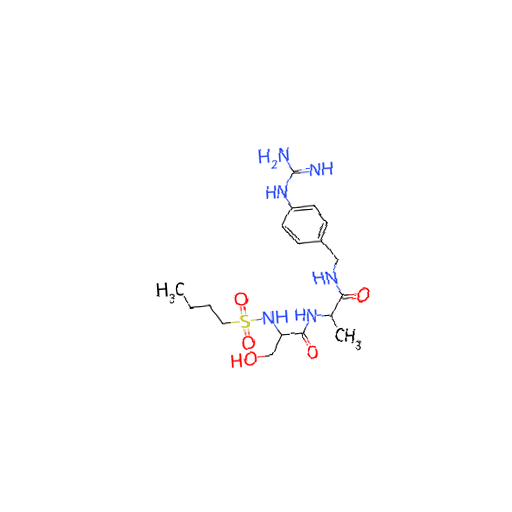 CCCCS(=O)(=O)NC(CO)C(=O)NC(C)C(=O)NCc1ccc(NC(=N)N)cc1